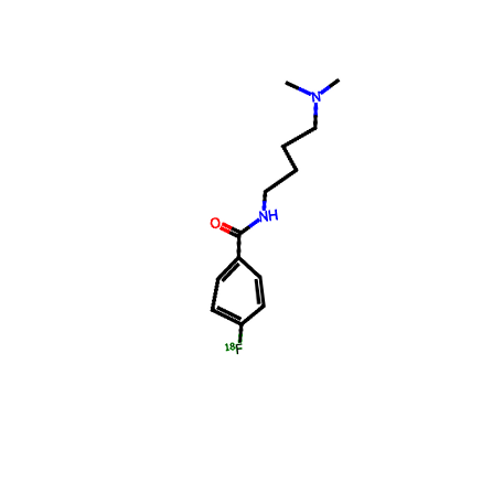 CN(C)CCCCNC(=O)c1ccc([18F])cc1